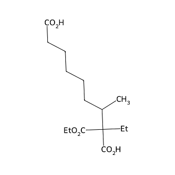 CCOC(=O)C(CC)(C(=O)O)C(C)CCCCCC(=O)O